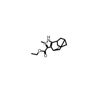 CCOC(=O)c1c2c([nH][n+]1C)C1CC3CC(C1)CC2C3